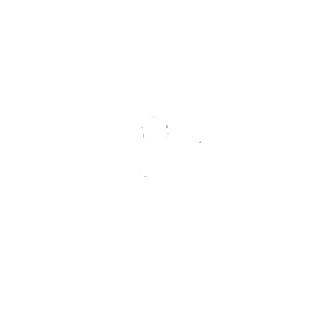 COc1c(C2C(C)C(C)(C(F)(F)F)O[C@H]2C(=O)O)cccc1C(F)(F)F